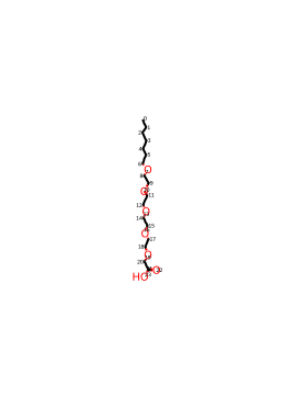 CCCCCCCOCCOCCOCCOCCOCC(=O)O